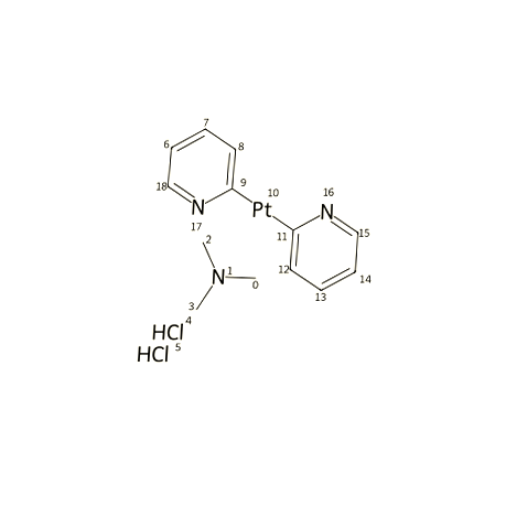 CN(C)C.Cl.Cl.c1cc[c]([Pt][c]2ccccn2)nc1